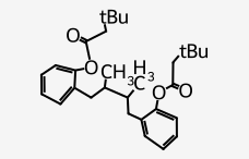 CC(Cc1ccccc1OC(=O)CC(C)(C)C)C(C)Cc1ccccc1OC(=O)CC(C)(C)C